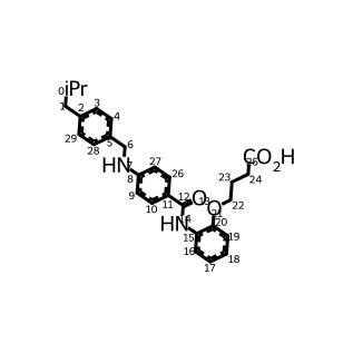 CC(C)Cc1ccc(CNc2ccc(C(=O)Nc3ccccc3OCCCC(=O)O)cc2)cc1